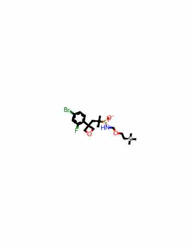 CC(C)(CC1(c2ccc(Br)cc2F)COC1)[S+]([O-])NCOCC[Si](C)(C)C